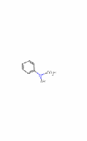 C[CH]CN(C(=O)O)c1ccccc1